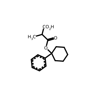 CC(C(=O)O)C(=O)OC1(c2ccccc2)CCCCC1